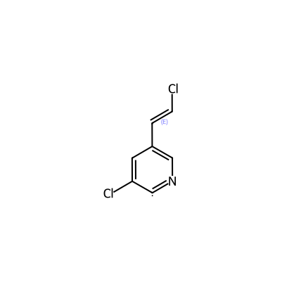 Cl/C=C/c1cn[c]c(Cl)c1